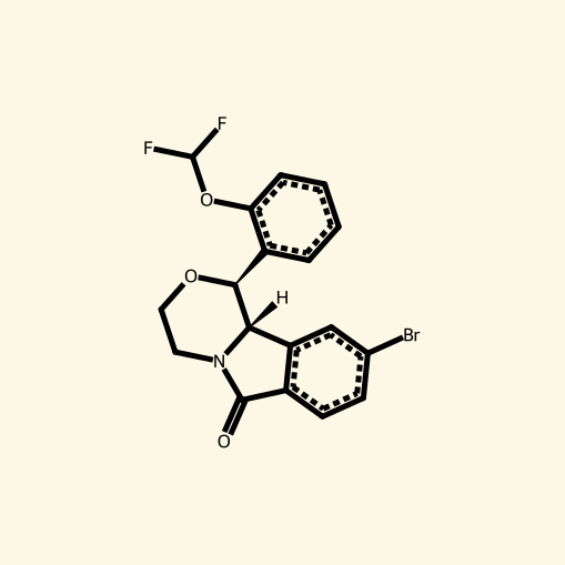 O=C1c2ccc(Br)cc2[C@H]2[C@H](c3ccccc3OC(F)F)OCCN12